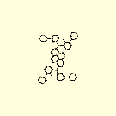 Cc1c(-c2ccccc2)cccc1N(c1cccc(C2CCCCC2)c1)c1ccc2ccc3c(N(c4cccc(C5CCCCC5)c4)c4cccc(-c5ccccc5)c4C)ccc4ccc1c2c43